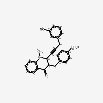 CN1c2ccccc2C(=O)C(Cc2ccc(C(=O)O)cc2)C1C#CCc1cccc(C#N)c1